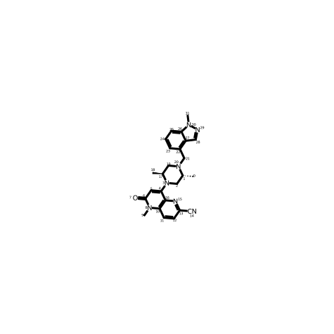 C[C@@H]1CN(c2cc(=O)n(C)c3ccc(C#N)nc23)[C@@H](C)CN1Cc1cccc2c1cnn2C